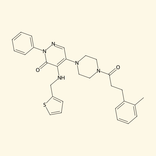 Cc1ccccc1CCC(=O)N1CCN(c2cnn(-c3ccccc3)c(=O)c2NCc2cccs2)CC1